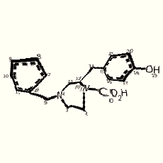 O=C(O)N1CCN(Cc2ccccc2)C[C@H]1Cc1ccc(O)cc1